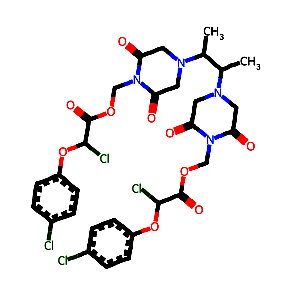 CC(C(C)N1CC(=O)N(COC(=O)C(Cl)Oc2ccc(Cl)cc2)C(=O)C1)N1CC(=O)N(COC(=O)C(Cl)Oc2ccc(Cl)cc2)C(=O)C1